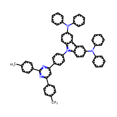 Cc1ccc(-c2cc(-c3ccc(-n4c5ccc(N(c6ccccc6)c6ccccc6)cc5c5cc(N(c6ccccc6)c6ccccc6)ccc54)cc3)nc(-c3ccc(C)cc3)n2)cc1